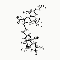 CCCc1cc(O)c(C2C=C(C(=O)O)C(CCCc3cc(O)c(C4C=C(C)C(=O)CC4C(C)C)c(O)c3)CC2C(C)C)c(O)c1